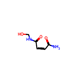 NC(=O)/C=C\C(=O)NCO